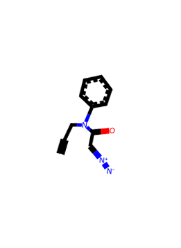 C#CCN(C(=O)C=[N+]=[N-])c1ccccc1